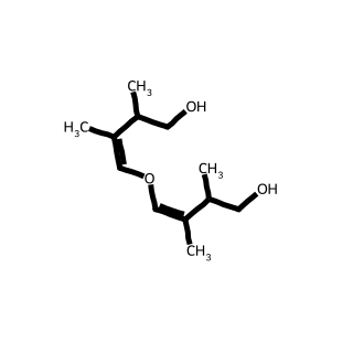 CC(=COC=C(C)C(C)CO)C(C)CO